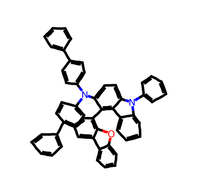 c1ccc(-c2ccc(N(c3ccc(-c4ccccc4)cc3)c3ccc4c(c3-c3cccc5c3oc3ccccc35)c3ccccc3n4-c3ccccc3)cc2)cc1